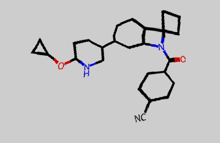 N#CC1CCC(C(=O)N2C3CC(C4CCC(OC5CC5)NC4)CCC3C23CCC3)CC1